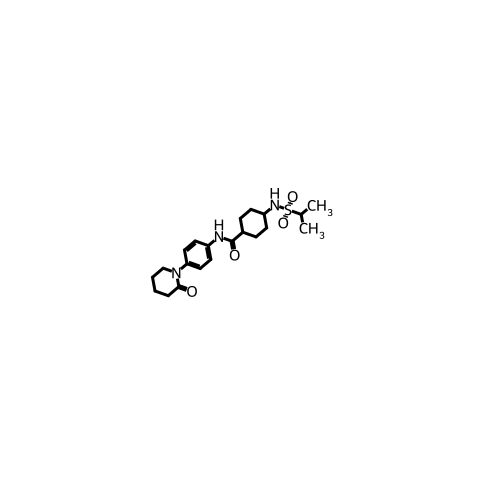 CC(C)S(=O)(=O)NC1CCC(C(=O)Nc2ccc(N3CCCCC3=O)cc2)CC1